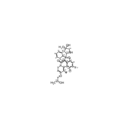 C[C@H](O)COC1=CCC(C(N)=O)C(c2c(Cl)c(F)cc3c2C[C@](C2C=CC=CC2)(C2CC(C)(O)CN2)O3)=C1F